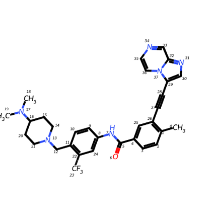 Cc1ccc(C(=O)Nc2ccc(CN3CCC(N(C)C)CC3)c(C(F)(F)F)c2)cc1C#Cc1cnc2cnccn12